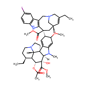 CCC1=C[C@H]2CN(C1)Cc1c([nH]c3ccc(I)cc13)[C@@](C(=O)OC)(C1C=C3C(=CC1OC)N(C)[C@H]1[C@@](O)(C(=O)OC)[C@H](OC(C)=O)C4[C@@H](CC)CCN5CC[C@]31[C@H]45)C2